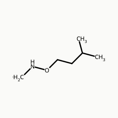 [CH2]NOCCC(C)C